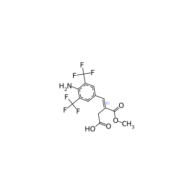 COC(=O)/C(=C/c1cc(C(F)(F)F)c(N)c(C(F)(F)F)c1)CC(=O)O